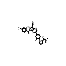 CNC(=O)C1CCCN1C1CC=C(c2cnc3c(C#N)nn(C(C)c4ccc(Cl)cc4Cl)c3n2)CC1C